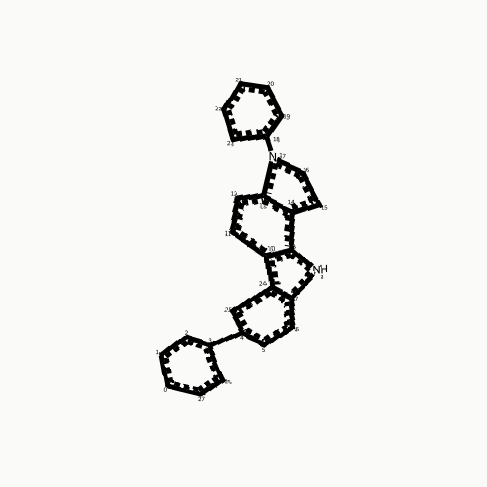 c1ccc(-c2ccc3[nH]c4c(ccc5c4ccn5-c4ccccc4)c3c2)cc1